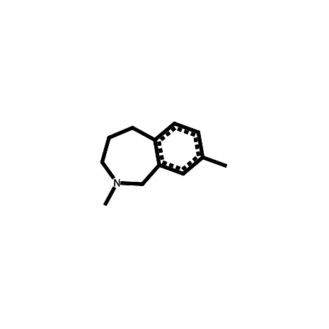 Cc1ccc2c(c1)CN(C)CCC2